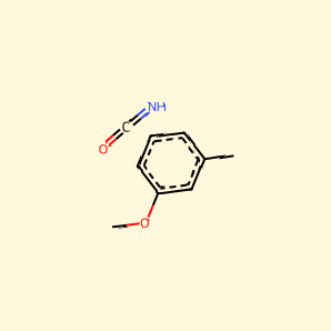 COc1cccc(C)c1.N=C=O